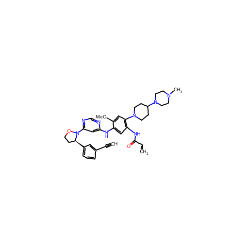 C#Cc1cccc([C@H]2CCON2c2cc(Nc3cc(NC(=O)C=C)c(N4CCC(N5CCN(C)CC5)CC4)cc3OC)ncn2)c1